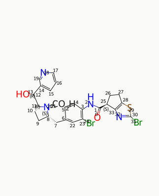 O=C(Nc1ccc(C[C@@H]2CC[C@H]([C@H](O)c3cccnc3)N2C(=O)O)cc1Br)[C@H]1CCc2sc(Br)nc21